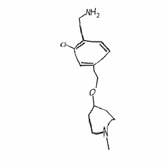 CN1CCC(OCc2ccc(CN)c(Cl)c2)CC1